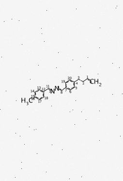 C=CCCc1ccc(C=NN=Cc2ccc(C)cc2)cc1